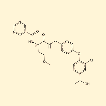 COCC[C@H](NC(=O)c1cncnc1)C(=O)NCc1ccc(Oc2ccc(C(C)O)cc2Cl)cc1